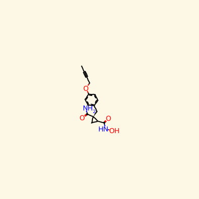 CC#CCOc1ccc(C[C@]2(C(N)=O)CC2C(=O)NO)cc1